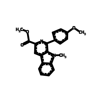 COC(=O)c1cc2c3ccccc3n(C)c2c(-c2ccc(OC)cc2)n1